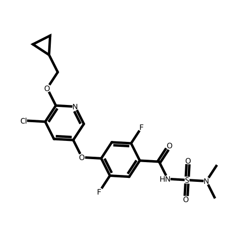 CN(C)S(=O)(=O)NC(=O)c1cc(F)c(Oc2cnc(OCC3CC3)c(Cl)c2)cc1F